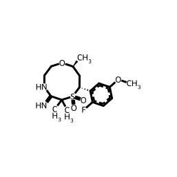 COc1ccc(F)c([C@H]2C[C@H](C)OCCNC(=N)C(C)(C)S2(=O)=O)c1